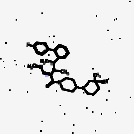 C=N/C=C(/C(=O)N1CCC(N2CCCC(C)(O)C2)CC1)N(C)[C@@H](C)c1ccccc1-c1ccc(F)cc1